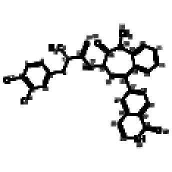 C[C@@H](Cc1ccc(Cl)c(Cl)c1)C(=O)NC1N=C(c2ccc3c(=O)[nH]ccc3c2)c2ccccc2N(C)C1=O